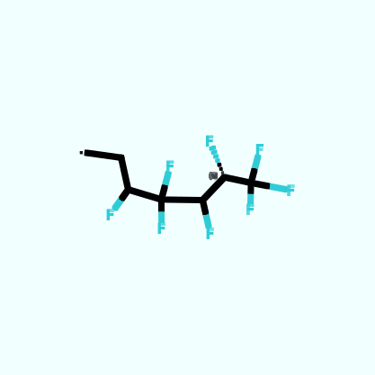 [CH2]CC(F)C(F)(F)C(F)[C@H](F)C(F)(F)F